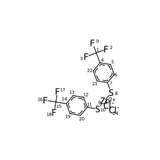 FC(F)(F)c1ccc([S][Zr+2][S]c2ccc(C(F)(F)F)cc2)cc1.[Cl-].[Cl-]